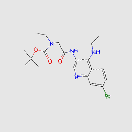 CCNc1c(NC(=O)CN(CC)C(=O)OC(C)(C)C)cnc2cc(Br)ccc12